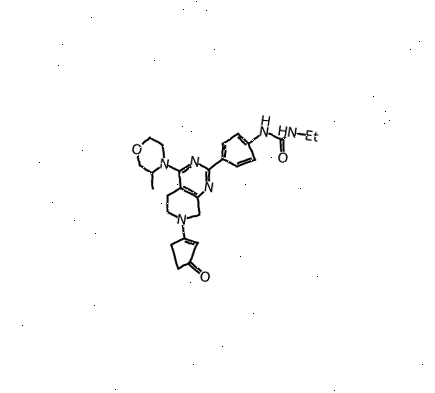 CCNC(=O)Nc1ccc(-c2nc3c(c(N4CCOCC4C)n2)CCN(C2=CC(=O)CC2)C3)cc1